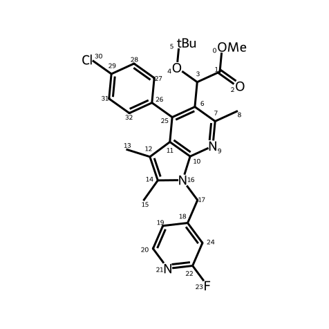 COC(=O)C(OC(C)(C)C)c1c(C)nc2c(c(C)c(C)n2Cc2ccnc(F)c2)c1-c1ccc(Cl)cc1